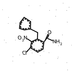 NC(=O)c1ccc(Cl)c([N+](=O)[O-])c1Cc1ccccc1